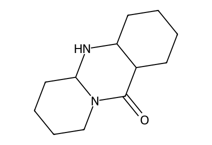 O=C1C2CCCCC2NC2CCCCN12